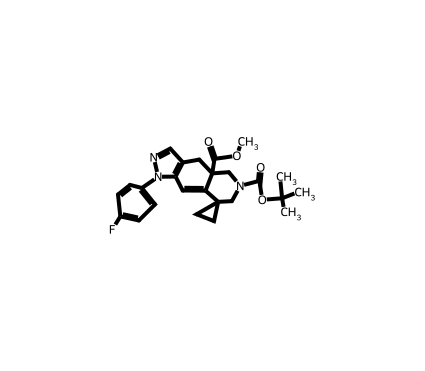 COC(=O)C12Cc3cnn(-c4ccc(F)cc4)c3C=C1C1(CC1)CN(C(=O)OC(C)(C)C)C2